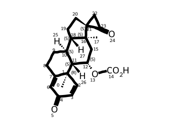 C[C@]12C=CC(=O)C=C1CC[C@@H]1[C@@H]2[C@@H](OC(=O)O)C[C@@]2(C)[C@H]1CC[C@]21CC1=O